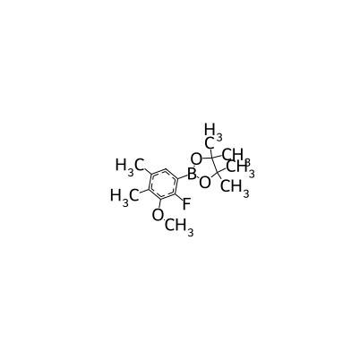 COc1c(C)c(C)cc(B2OC(C)(C)C(C)(C)O2)c1F